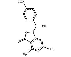 COc1ccc(C(O)C2OC(=O)c3c(C)cc(C)cc32)cc1